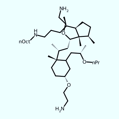 CCCCCCCCNCCC[C@@H](C)[C@H]1CC[C@@H](C)[C@]1(C)[C@H](C[C@@H](C)[C@@]1(C)CC[C@@H](OCCN)CC1C[C@H](C)OCCC)OCCN